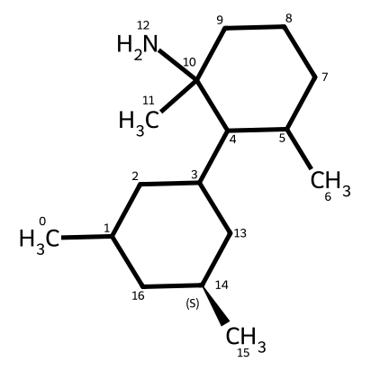 CC1CC(C2C(C)CCCC2(C)N)C[C@@H](C)C1